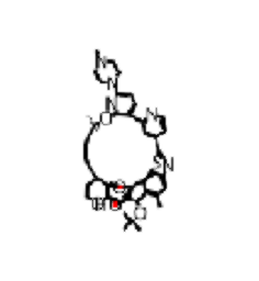 Cc1cc2nc3sc2c(c1C(OC(C)(C)C)C(=O)O)-c1ccc2c(c1)C(CCCC[C@H](C)Oc1nc(N4CCN(C)CC4)ccc1-c1cc-3ccn1)CCO2